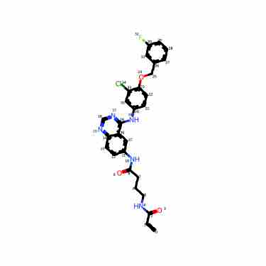 C=CC(=O)NCCCC(=O)Nc1ccc2ncnc(Nc3ccc(OCc4cccc(F)c4)c(Cl)c3)c2c1